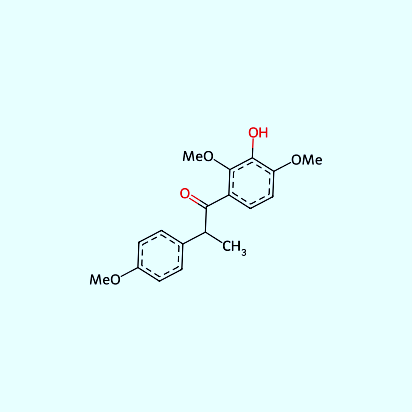 COc1ccc(C(C)C(=O)c2ccc(OC)c(O)c2OC)cc1